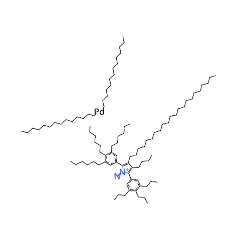 CCCCCCCCCCCCCCCCCCCCCCC1=C(c2cc(CCCCCC)c(CCCCCC)c(CCCCCC)c2)[N+](=[N-])C(c2cc(CCC)c(CCC)c(CCC)c2)=C1CCCC.CCCCCCCCCCCCC[CH2][Pd][CH2]CCCCCCCCCCCCC